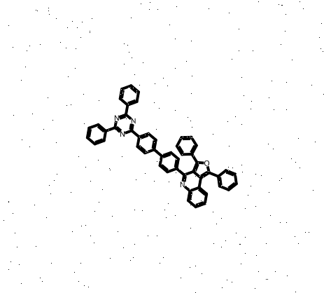 c1ccc(-c2nc(-c3ccccc3)nc(-c3ccc(-c4ccc(-c5nc6ccccc6c6c(-c7ccccc7)oc(-c7ccccc7)c56)cc4)cc3)n2)cc1